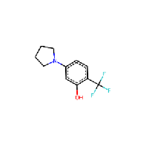 Oc1cc(N2CCCC2)ccc1C(F)(F)F